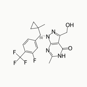 Cc1nc2c(c(CO)nn2[C@H](c2ccc(C(F)(F)F)c(F)c2)C2(C)CC2)c(=O)[nH]1